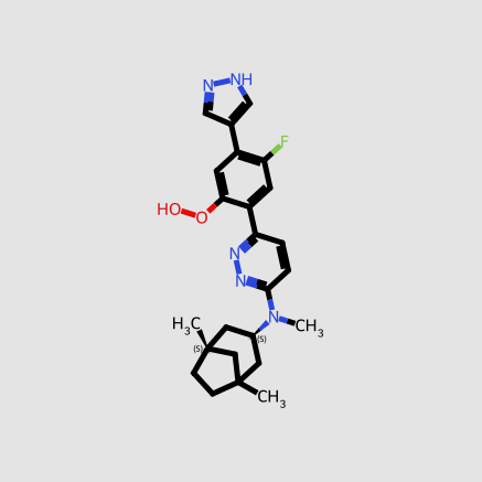 CN(c1ccc(-c2cc(F)c(-c3cn[nH]c3)cc2OO)nn1)[C@H]1CC2(C)CC[C@](C)(C1)C2